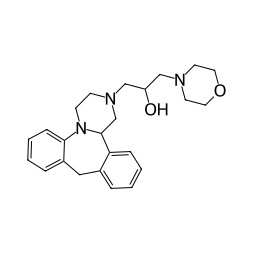 OC(CN1CCOCC1)CN1CCN2c3ccccc3Cc3ccccc3C2C1